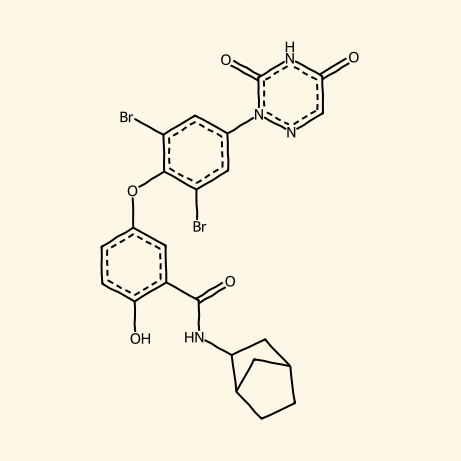 O=C(NC1CC2CCC1C2)c1cc(Oc2c(Br)cc(-n3ncc(=O)[nH]c3=O)cc2Br)ccc1O